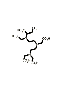 O=C(O)CN(CCN(CC(=O)O)CC(=O)O)CCN(CC(=O)O)C(CC(F)(F)F)C(=O)O